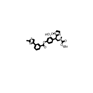 Cc1nc(-c2cccc(C(=O)Oc3ccc(C(CN(C)C(=O)OC(C)(C)C)c4nccn4C(=O)O)cc3)c2)cs1